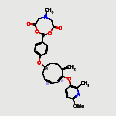 C=C1CC[C@@H](Oc2ccc(B3OC(=O)CN(C)CC(=O)O3)cc2)C/C=C\C=C/1Oc1ccc(OC)nc1C